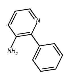 Nc1[c]ccnc1-c1ccccc1